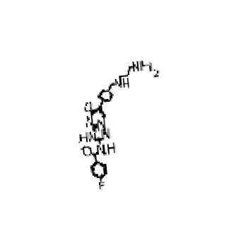 NCCCNCc1ccc(-c2cn3nc(NC(=O)c4ccc(F)cc4)[nH]c3nc2=O)cc1